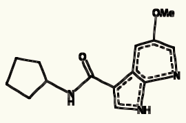 COc1cnc2[nH]cc(C(=O)NC3CCCC3)c2c1